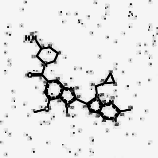 COc1cc(C(=O)N2CCCC(N)C2)cc2nc(-c3cc4cnc(C)nc4n3CC3CC3)n(C)c12